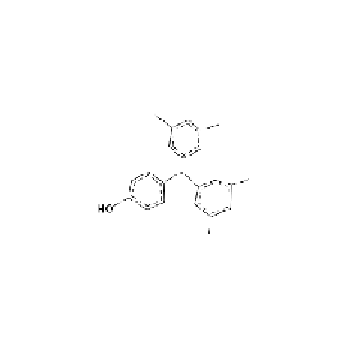 Cc1cc(C)cc(C(c2ccc(O)cc2)c2cc(C)cc(C)c2)c1